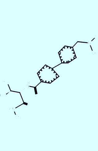 C[C@@H](O)[C@H](NC(=O)c1ccc(-c2ccc(CN(C)C)cc2)cc1)C(=O)NO